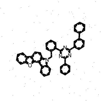 c1ccc(-c2cccc(-c3nc(-c4ccccc4)nc(-c4ccccc4Cn4c5ccccc5c5c6oc7ccccc7c6ccc54)n3)c2)cc1